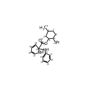 CC1CCC(C(C)C)C(OC(=O)C2(Nc3ccccc3)C=CC=CN2)C1